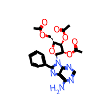 CC(=O)OC[C@H]1O[C@@H](n2c(-c3ccccc3)nc3c(N)ncnc32)[C@H](OC(C)=O)[C@@H]1OC(C)=O